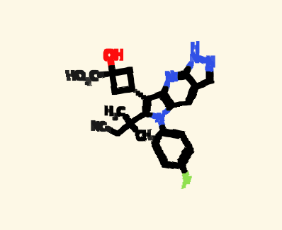 CC(C)(CC#N)c1c([C@H]2C[C@](O)(C(=O)O)C2)c2nc3[nH]ncc3cc2n1-c1ccc(F)cc1